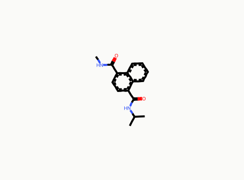 CNC(=O)c1ccc(C(=O)NC(C)C)c2ccccc12